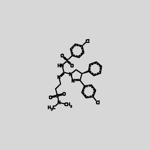 CN(C)S(=O)(=O)CC/N=C(/NS(=O)(=O)c1ccc(Cl)cc1)N1C[C@@H](c2ccccc2)C(c2ccc(Cl)cc2)=N1